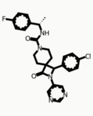 C[C@H](NC(=O)N1CCC2(CC1)C(=O)N(c1cncnc1)C2c1ccc(Cl)cc1)c1ccc(F)cc1